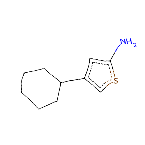 Nc1cc(C2CCCCC2)cs1